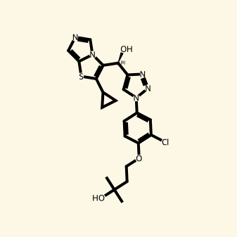 CC(C)(O)CCOc1ccc(-n2cc([C@H](O)c3c(C4CC4)sc4cncn34)nn2)cc1Cl